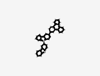 C1=C(c2ccc3c(c2)c2ccccc2n3-c2ccc3oc4ccccc4c3c2)CCc2c1c1ccccc1c1ccccc21